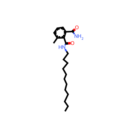 CCCCCCCCCCCCNC(=O)c1c(C)cccc1C(N)=O